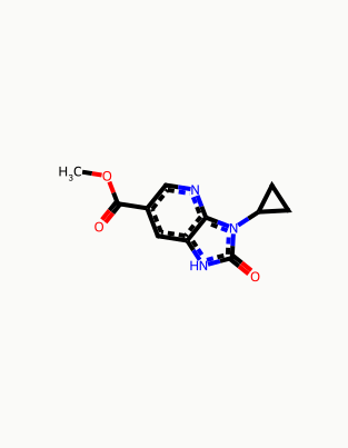 COC(=O)c1cnc2c(c1)[nH]c(=O)n2C1CC1